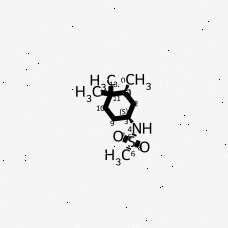 C[C@H]1C[C@@H](NS(C)(=O)=O)CCC1(C)C